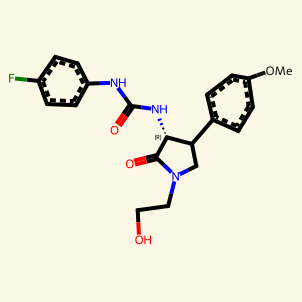 COc1ccc(C2CN(CCO)C(=O)[C@@H]2NC(=O)Nc2ccc(F)cc2)cc1